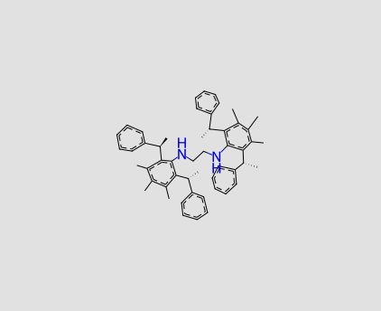 Cc1c(C)c([C@H](C)c2ccccc2)c(NCCNc2c([C@H](C)c3ccccc3)c(C)c(C)c(C)c2[C@H](C)c2ccccc2)c([C@H](C)c2ccccc2)c1C